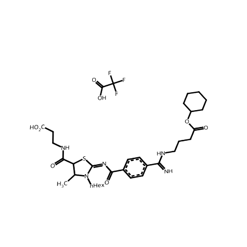 CCCCCCN1C(=NC(=O)c2ccc(C(=N)NCCCC(=O)OC3CCCCC3)cc2)SC(C(=O)NCCC(=O)O)C1C.O=C(O)C(F)(F)F